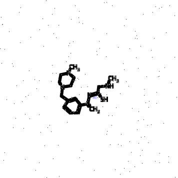 C=C(/N=C(\S)CNC)c1cccc(CN2CCN(C)CC2)c1